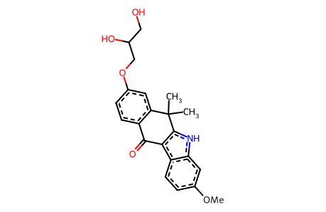 COc1ccc2c3c([nH]c2c1)C(C)(C)c1cc(OCC(O)CO)ccc1C3=O